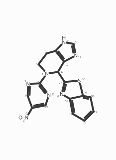 O=[N+]([O-])c1cnc(N2CCc3[nH]cnc3C2c2nc3ccccc3s2)nc1